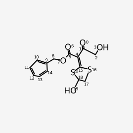 O=C(CO)C(C(=O)OCc1ccccc1)=C1SCC(O)S1